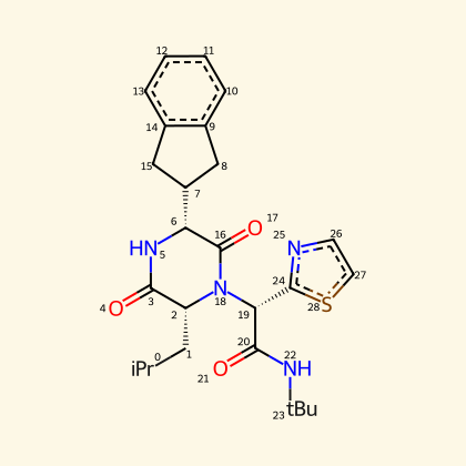 CC(C)C[C@@H]1C(=O)N[C@H](C2Cc3ccccc3C2)C(=O)N1[C@@H](C(=O)NC(C)(C)C)c1nccs1